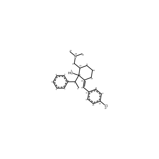 CC(c1ccccc1)C1(O)C(=Cc2ccc(Cl)cc2)CCCC1CN(C)C